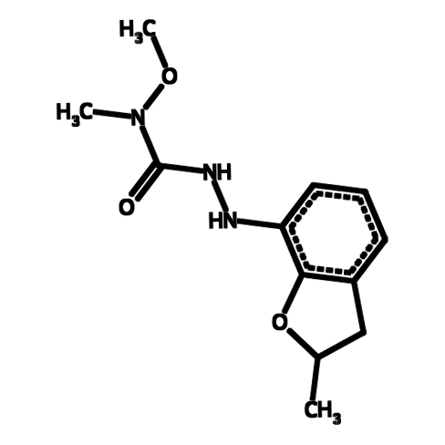 CON(C)C(=O)NNc1cccc2c1OC(C)C2